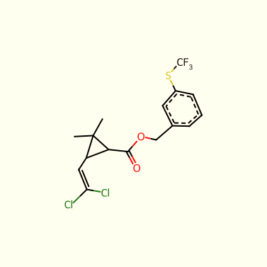 CC1(C)C(C=C(Cl)Cl)C1C(=O)OCc1cccc(SC(F)(F)F)c1